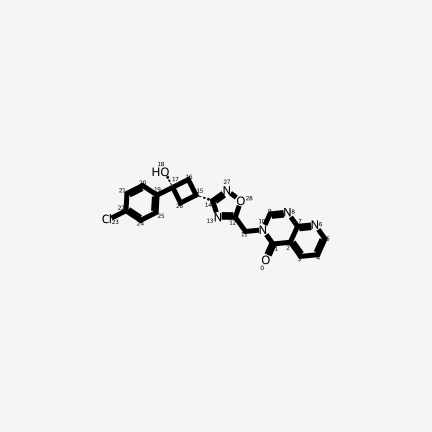 O=c1c2cccnc2ncn1Cc1nc([C@H]2C[C@](O)(c3ccc(Cl)cc3)C2)no1